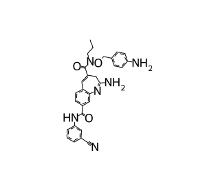 CCCN(OCc1ccc(N)cc1)C(=O)C1=Cc2ccc(C(=O)Nc3cccc(C#N)c3)cc2N=C(N)C1